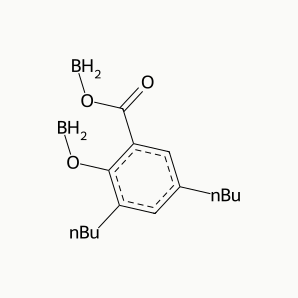 BOC(=O)c1cc(CCCC)cc(CCCC)c1OB